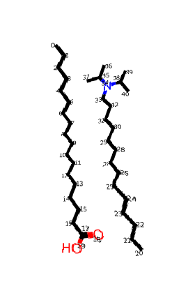 CCCCCCCCCCCCCCCCCC(=O)O.CCCCCCCCCCCCCCN(C(C)C)C(C)C